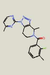 Cc1ccnc(-n2nnc3c2CCN(C(=O)c2cccc(C)c2F)C3C)n1